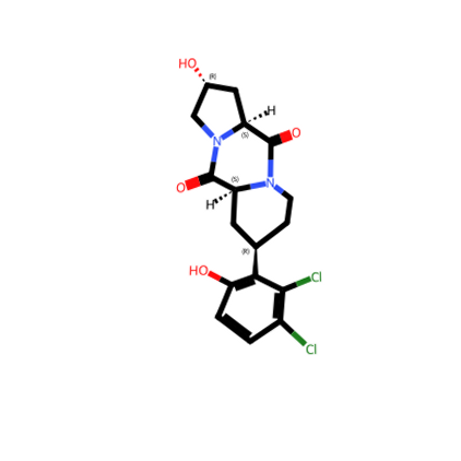 O=C1[C@@H]2C[C@@H](O)CN2C(=O)[C@@H]2C[C@H](c3c(O)ccc(Cl)c3Cl)CCN12